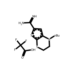 CCCCN1CCSc2sc(C(=N)N)cc21.O=C(O)C(F)(F)F